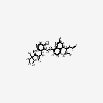 C=C/C=C(/c1cc(C)nc2c(OCc3c(Cl)cncc3CN(C)C(=O)C(C)(CC)CC)cccc12)N(C)C